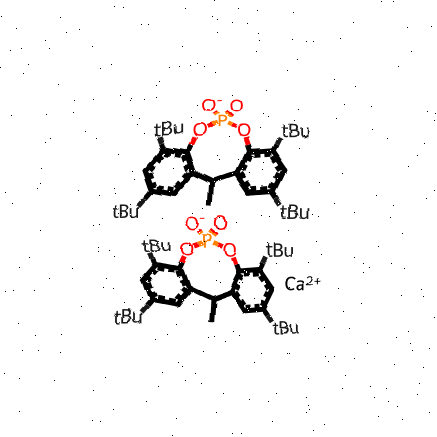 CC1c2cc(C(C)(C)C)cc(C(C)(C)C)c2OP(=O)([O-])Oc2c1cc(C(C)(C)C)cc2C(C)(C)C.CC1c2cc(C(C)(C)C)cc(C(C)(C)C)c2OP(=O)([O-])Oc2c1cc(C(C)(C)C)cc2C(C)(C)C.[Ca+2]